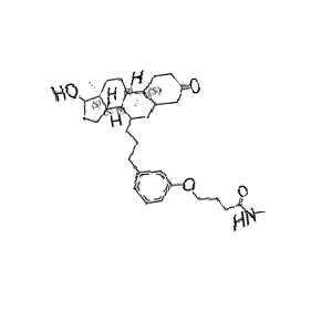 CNC(=O)CCCOc1cccc(CCCC2CC3CC(=O)CC[C@]3(C)[C@@H]3CC[C@]4(C)C(O)CC[C@H]4[C@H]23)c1